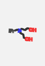 CC(C)CN(CCCO)CCCO